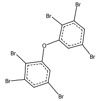 Brc1cc(Br)c(Br)c(Oc2cc(Br)cc(Br)c2Br)c1